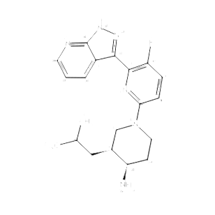 CC(C)C[C@H]1CN(c2ccc(F)c(-c3n[nH]c4ncccc34)n2)CC[C@H]1N